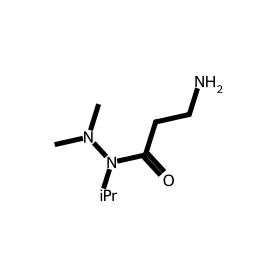 CC(C)N(C(=O)CCN)N(C)C